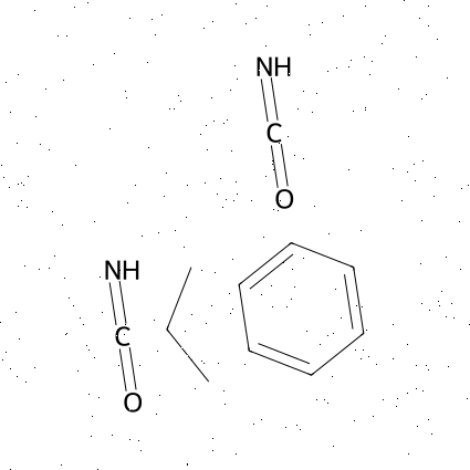 CCC.N=C=O.N=C=O.c1ccccc1